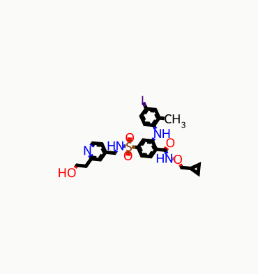 Cc1cc(I)ccc1Nc1cc(S(=O)(=O)NCc2ccnc(CCO)c2)ccc1C(=O)NOCC1CC1